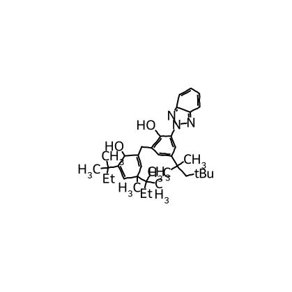 CCC(C)(C)C1=CC(C)(C(C)(C)CC)C=C(Cc2cc(C(C)(C)CC(C)(C)C)cc(-n3nc4ccccc4n3)c2O)C1O